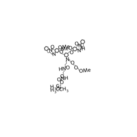 COCCOCCOCCN(CCCC(=O)NCCCONC(=O)OCC[Si](C)(C)C)c1cc(COc2cc3c(cc2OC)C(=O)N2c4ccccc4CC2C=N3)cc(COc2cc3c(cc2OC)C(=O)N2c4ccccc4C[C@H]2C=N3)c1